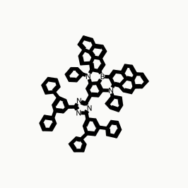 c1ccc(-c2cc(-c3ccccc3)cc(-c3nc(-c4cc(-c5ccccc5)cc(-c5ccccc5)c4)nc(-c4cc5c6c(c4)N(c4ccccc4)c4c(cc7ccc8cccc9ccc4c7c89)B6c4cc6ccc7cccc8ccc(c4N5c4ccccc4)c6c78)n3)c2)cc1